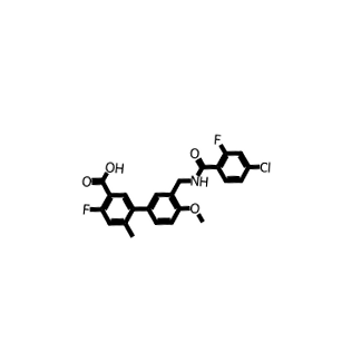 COc1ccc(-c2cc(C(=O)O)c(F)cc2C)cc1CNC(=O)c1ccc(Cl)cc1F